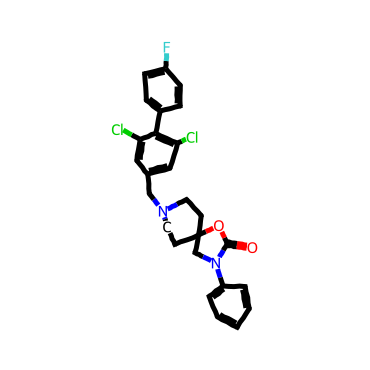 O=C1OC2(CCN(Cc3cc(Cl)c(-c4ccc(F)cc4)c(Cl)c3)CC2)CN1c1ccccc1